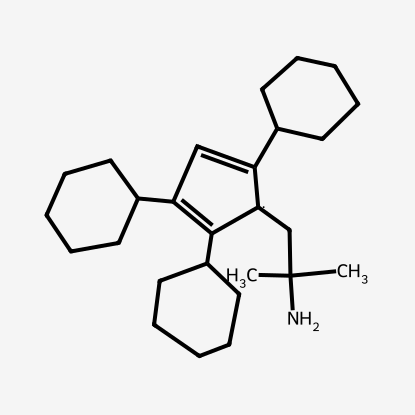 CC(C)(N)C[C]1C(C2CCCCC2)=CC(C2CCCCC2)=C1C1CCCCC1